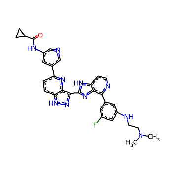 CN(C)CCNc1cc(F)cc(-c2nccc3[nH]c(-c4n[nH]c5ccc(-c6cncc(NC(=O)C7CC7)c6)nc45)nc23)c1